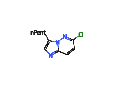 CCCCCc1cnc2ccc(Cl)nn12